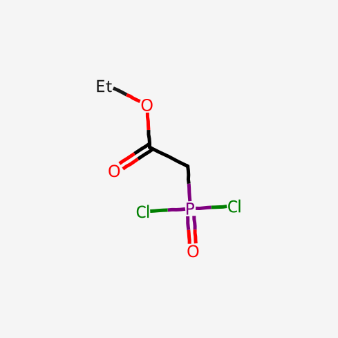 CCOC(=O)CP(=O)(Cl)Cl